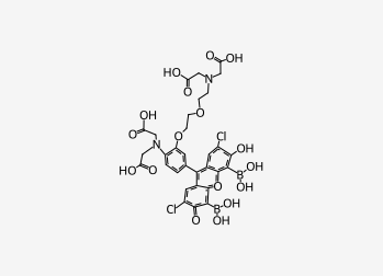 O=C(O)CN(CCOCCOc1cc(-c2c3cc(Cl)c(=O)c(B(O)O)c-3oc3c(B(O)O)c(O)c(Cl)cc23)ccc1N(CC(=O)O)CC(=O)O)CC(=O)O